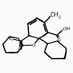 CC1=C(C(=O)O)C(OC2CCCCC2)(C2CCCCC2)C(C(=O)O)C=C1